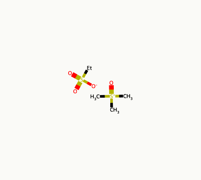 CCS(=O)(=O)[O-].C[S+](C)(C)=O